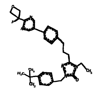 CCn1c(CCCc2ccc(-c3cnc(C4(F)COC4)nc3)cc2)nn(Cc2ccc(C(C)(C)C)cc2)c1=O